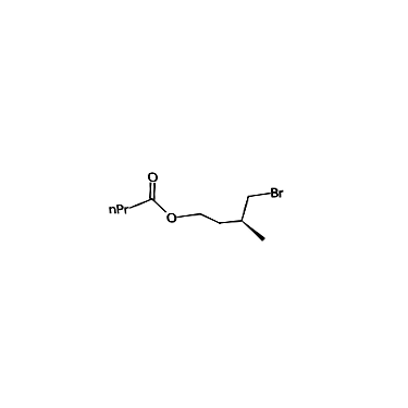 CCCC(=O)OCC[C@H](C)CBr